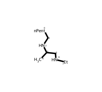 CCCCCCNC(C)CNCC